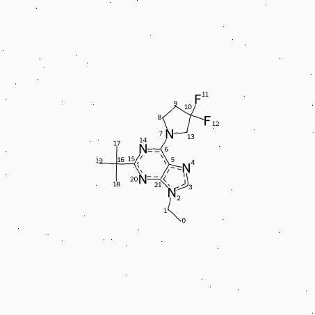 CCn1cnc2c(N3CCC(F)(F)C3)nc(C(C)(C)C)nc21